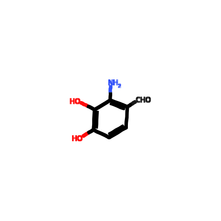 Nc1c(C=O)ccc(O)c1O